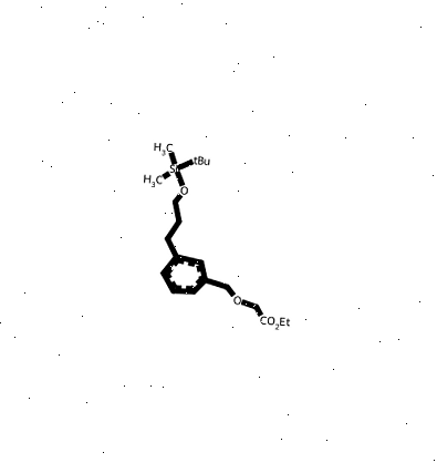 CCOC(=O)COCc1cccc(CCCO[Si](C)(C)C(C)(C)C)c1